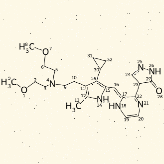 COCCN(CCOC)CCc1c(C)[nH]c(C=C2NC=CN=C2C2C=NNC2=O)c1C1CC1